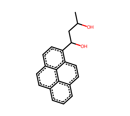 CC(O)CC(O)c1ccc2ccc3cccc4ccc1c2c34